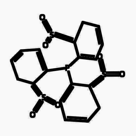 O=S(=O)=C1CC=CC=C1P(C1=CC=CCC1=S(=O)=O)C1=CC=CCC1=S(=O)=O